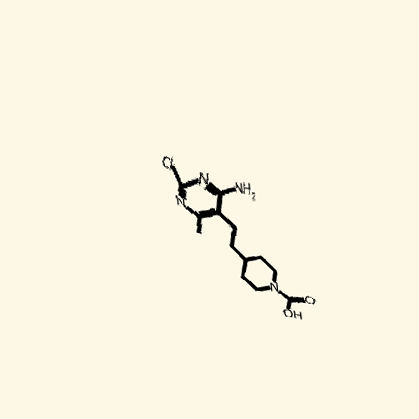 Cc1nc(Cl)nc(N)c1CCC1CCN(C(=O)O)CC1